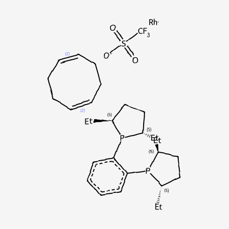 C1=C\CC/C=C\CC/1.CC[C@H]1CC[C@H](CC)P1c1ccccc1P1[C@@H](CC)CC[C@@H]1CC.O=S(=O)([O-])C(F)(F)F.[Rh]